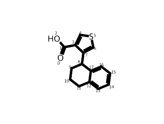 O=C(O)c1cscc1C1CCCc2ccccc21